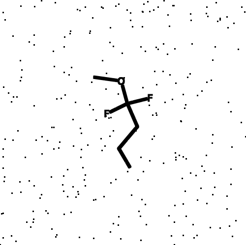 CCCC(F)(F)OC